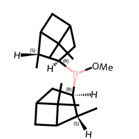 COB([C@@H]1CC2CC([C@H]1C)C2(C)C)[C@@H]1CC2CC([C@H]1C)C2(C)C